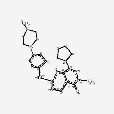 CN1CCN(c2ccc(Nc3ncc4c(=O)n(C)nc(C5CCCC5)c4n3)cc2)CC1